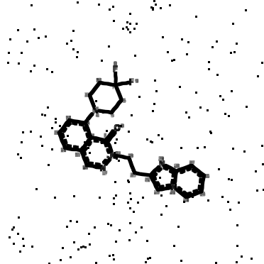 O=c1c2c(N3CCC(F)(F)CC3)cccc2cnn1CCc1cn2ccccc2n1